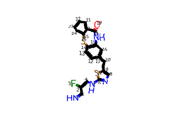 N=C/C(F)=C\Nc1ncc(Cc2ccc3c(c2)NC(=O)c2ccccc2S3)s1